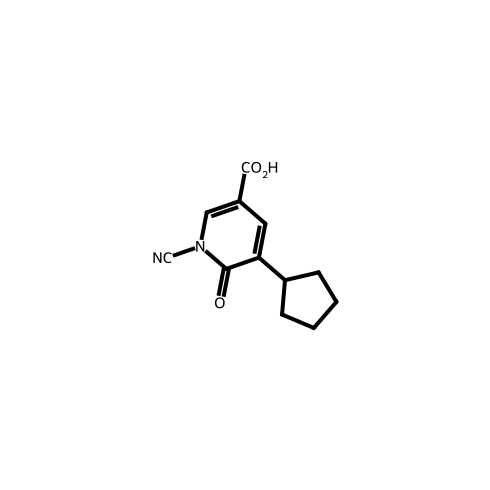 N#Cn1cc(C(=O)O)cc(C2CCCC2)c1=O